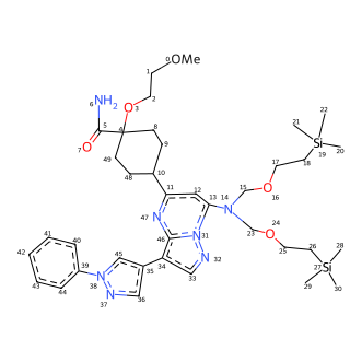 COCCOC1(C(N)=O)CCC(c2cc(N(COCC[Si](C)(C)C)COCC[Si](C)(C)C)n3ncc(-c4cnn(-c5ccccc5)c4)c3n2)CC1